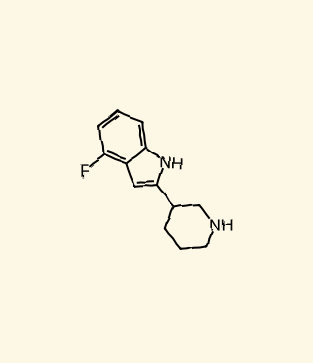 Fc1cccc2[nH]c(C3CCCNC3)cc12